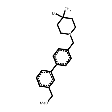 CCC1(C)CCN(Cc2ccc(-c3cccc(COC)c3)cc2)CC1